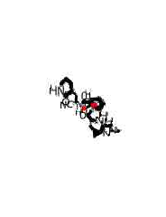 Cn1cc(N[C@H](CC2CC2)C(=O)N2[C@H]3CC[C@@H]([C@@H]2C(=O)N[C@H](C#N)C[C@@H]2CCCNC2=O)C(F)(F)C3)cn1